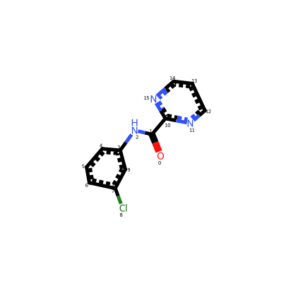 O=C(Nc1cccc(Cl)c1)c1ncccn1